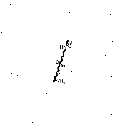 CCC(C)C(=O)NCCCCCC(=O)NCCCCCC(C)N